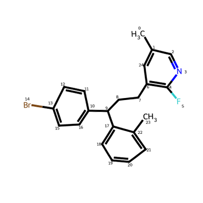 Cc1cnc(F)c(CCC(c2ccc(Br)cc2)c2ccccc2C)c1